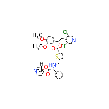 COc1ccc([C@@H](Cc2c(Cl)cncc2Cl)OC(=O)c2ccc(CNC(C(=O)O[C@H]3CN4CCC3CC4)c3ccccc3)s2)cc1OC